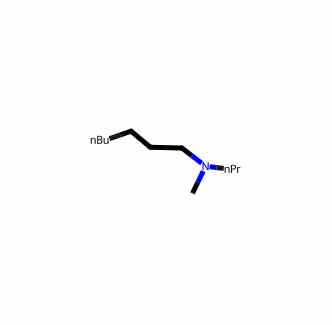 CCCCCCCN(C)CCC